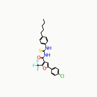 CCCCCc1ccc(NC(=S)NC(=O)c2cc(-c3ccc(Cl)cc3)oc2C(F)(F)F)cc1